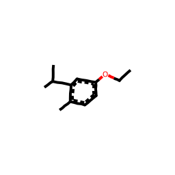 CCOc1ccc(C)c([C](C)C)c1